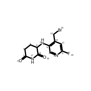 O=C1CCC(Nc2cnc(F)cc2CBr)C(=O)N1